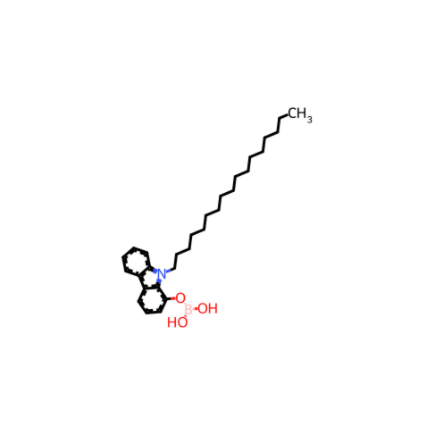 CCCCCCCCCCCCCCCCCn1c2ccccc2c2cccc(OB(O)O)c21